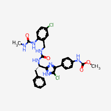 CNC(=O)Nc1ccc(Cl)cc1CNC(=O)N[C@@H](Cc1ccccc1)c1nc(-c2ccc(NC(=O)OC)cc2)c(Cl)[nH]1